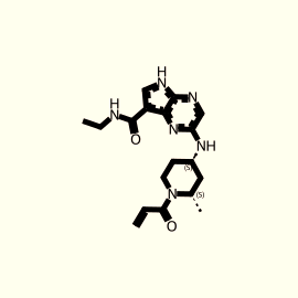 C=CC(=O)N1CC[C@H](Nc2cnc3[nH]cc(C(=O)NCC)c3n2)C[C@@H]1C